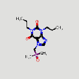 CCCn1c(=O)c2c(ncn2CP(C)(C)=O)n(CCC)c1=O